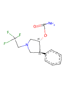 NC(=O)O[C@H]1CN(CC(F)(F)F)C[C@@H]1c1ccccc1